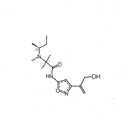 C=C(CO)c1cc(NC(=O)C(C)(C)N(C)[C@@H](C)CC)on1